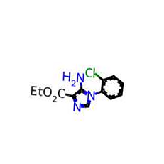 CCOC(=O)c1ncn(-c2ccccc2Cl)c1N